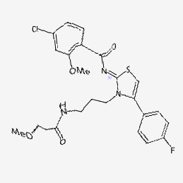 COCC(=O)NCCCn1c(-c2ccc(F)cc2)cs/c1=N\C(=O)c1ccc(Cl)cc1OC